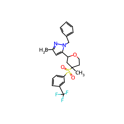 Bc1cc(C2CC(C)(S(=O)(=O)c3cccc(C(F)(F)F)c3)CCO2)n(Cc2ccccc2)n1